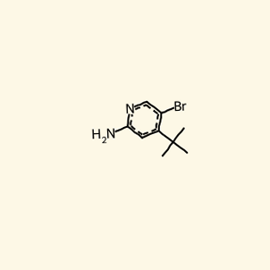 CC(C)(C)c1cc(N)ncc1Br